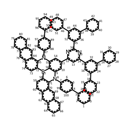 c1ccc(-c2ccc(N3c4cc(-c5cc(-c6cc(-c7ccccc7)cc(-c7ccccc7)c6)nc(-c6cc(-c7ccccc7)cc(-c7ccccc7)c6)n5)cc5c4B(c4ccc6cc7ccccc7cc6c43)c3ccc4cc6ccccc6cc4c3N5c3ccc(-c4ccccc4)cc3)cc2)cc1